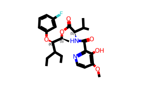 CCC(CC)[C@@H](Oc1cccc(F)c1)[C@H](C)OC(=O)[C@@H](NC(=O)c1nccc(OC)c1O)C(C)C